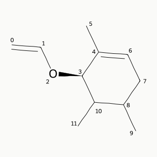 C=CO[C@H]1C(C)=CCC(C)C1C